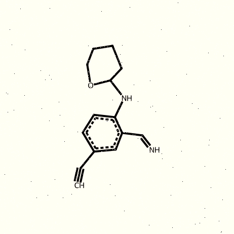 C#Cc1ccc(NC2CCCCO2)c(C=N)c1